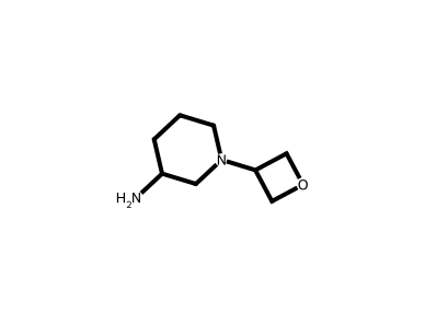 NC1CCCN(C2COC2)C1